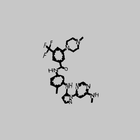 CNc1cc(-n2nccc2Nc2cc(NC(=O)c3cc(N4CCN(C)CC4)cc(C(F)(F)F)c3)ccc2C)ncn1